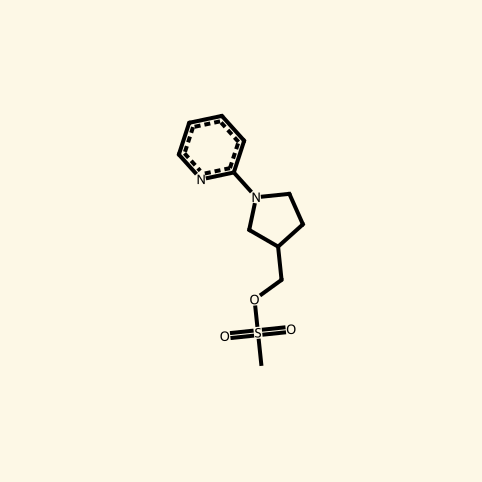 CS(=O)(=O)OCC1CCN(c2ccccn2)C1